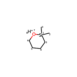 C[Si]1(C)CCCCO1.[H+]